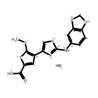 Br.CSc1sc(C(=O)O)cc1-c1csc(Nc2ccc3c(c2)OCO3)n1